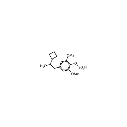 COc1cc(CC(C)N2CCC2)cc(OC)c1OS(=O)(=O)O